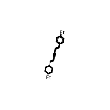 CCc1ccc(C=CC#CC=C[C@H]2CC[C@H](CC)CC2)cc1